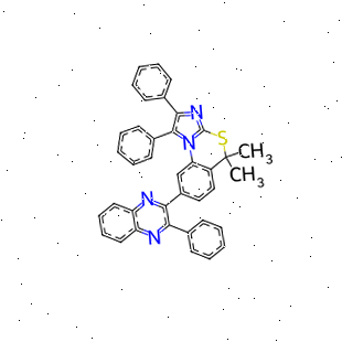 CC1(C)Sc2nc(-c3ccccc3)c(-c3ccccc3)n2-c2cc(-c3nc4ccccc4nc3-c3ccccc3)ccc21